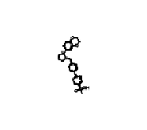 CS(=N)(=O)c1cnc(-c2ccc(CN3CCC[C@H]3c3ccc4c(c3)OCCO4)cc2)nc1